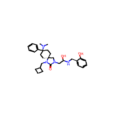 CN(C)[C@]1(c2ccccc2)CC[C@]2(CC1)CN(CC(O)NCc1ccccc1O)C(=O)N2CC1CCC1